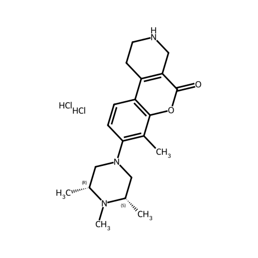 Cc1c(N2C[C@@H](C)N(C)[C@@H](C)C2)ccc2c3c(c(=O)oc12)CNCC3.Cl.Cl